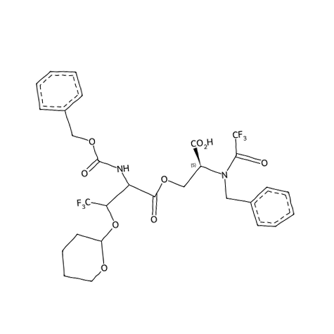 O=C(NC(C(=O)OC[C@@H](C(=O)O)N(Cc1ccccc1)C(=O)C(F)(F)F)C(OC1CCCCO1)C(F)(F)F)OCc1ccccc1